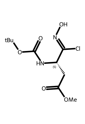 COC(=O)C[C@H](NC(=O)OC(C)(C)C)C(Cl)=NO